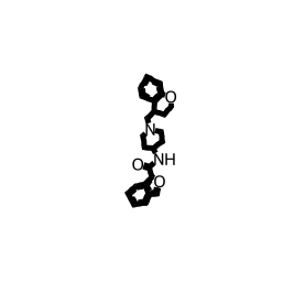 O=C(NC1CCN(CC2CCOc3ccccc32)CC1)c1occ2ccccc12